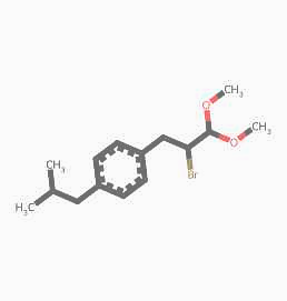 COC(OC)C(Br)Cc1ccc(CC(C)C)cc1